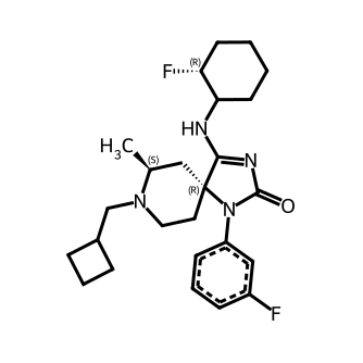 C[C@H]1C[C@]2(CCN1CC1CCC1)C(NC1CCCC[C@H]1F)=NC(=O)N2c1cccc(F)c1